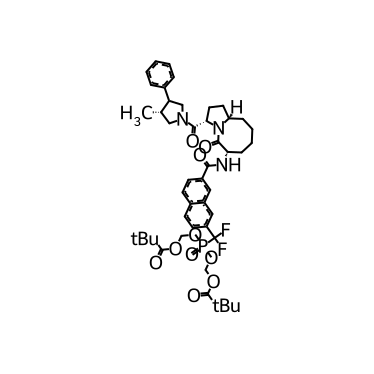 C[C@H]1CN(C(=O)[C@@H]2CC[C@@H]3CCCC[C@H](NC(=O)c4ccc5ccc(C(F)(F)P(=O)(OCOC(=O)C(C)(C)C)OCOC(=O)C(C)(C)C)cc5c4)C(=O)N32)CC1c1ccccc1